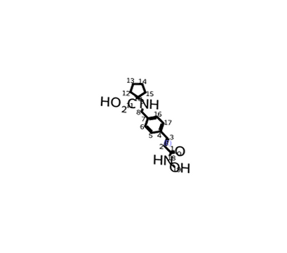 O=C(/C=C/c1ccc(CNC2(C(=O)O)CCCC2)cc1)NO